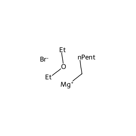 CCCCC[CH2][Mg+].CCOCC.[Br-]